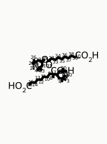 CN1C(C)(C)CC(C(C)(CCCCCCCC(=O)O)C(=O)O)CC1(C)C.CN1C(C)(C)CC(OC(=O)CCCCCCCCC(=O)O)CC1(C)C